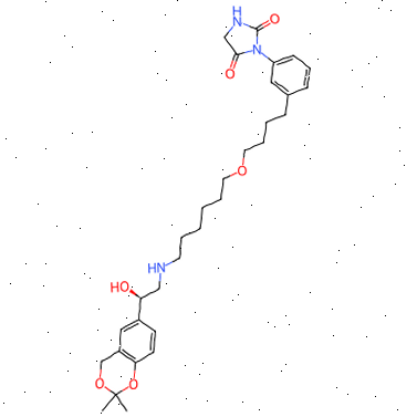 CC1(C)OCc2cc([C@@H](O)CNCCCCCCOCCCCc3cccc(N4C(=O)CNC4=O)c3)ccc2O1